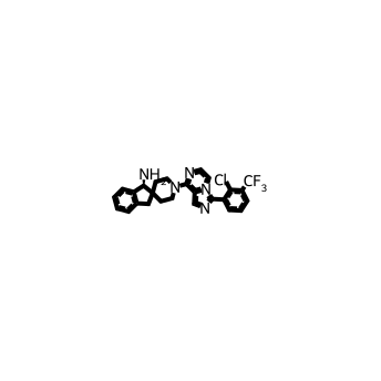 N[C@@H]1c2ccccc2CC12CCN(c1nccn3c(-c4cccc(C(F)(F)F)c4Cl)ncc13)CC2